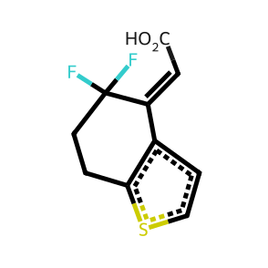 O=C(O)C=C1c2ccsc2CCC1(F)F